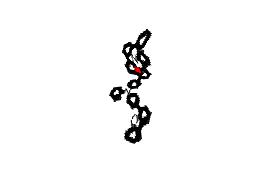 c1ccc(-c2cccc3c4ccccc4n(-c4ccccc4-c4ccc(-c5ccc(N(c6ccccc6)c6ccc(-c7cccc8c7oc7ccccc78)cc6)cc5)cc4)c23)cc1